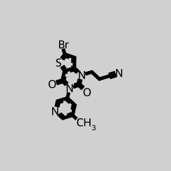 Cc1cncc(-n2c(=O)c3sc(Br)cc3n(CCC#N)c2=O)c1